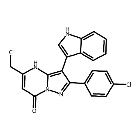 O=c1cc(CCl)[nH]c2c(-c3c[nH]c4ccccc34)c(-c3ccc(Cl)cc3)nn12